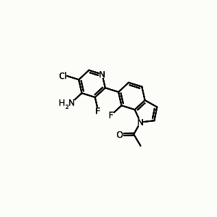 CC(=O)n1ccc2ccc(-c3ncc(Cl)c(N)c3F)c(F)c21